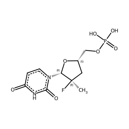 C[C@@]1(F)C[C@@H](COP(=O)(O)O)O[C@H]1n1ccc(=O)[nH]c1=O